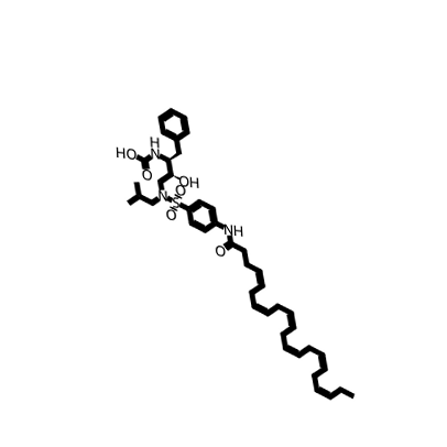 CC/C=C\C/C=C\C/C=C\C/C=C\C/C=C\C/C=C\CCC(=O)Nc1ccc(S(=O)(=O)N(CC(C)C)C[C@@H](O)[C@H](Cc2ccccc2)NC(=O)O)cc1